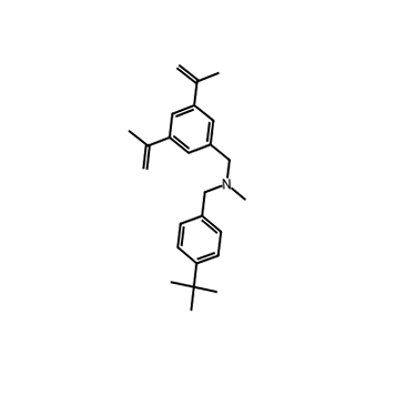 C=C(C)c1cc(CN(C)Cc2ccc(C(C)(C)C)cc2)cc(C(=C)C)c1